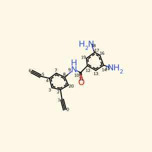 C#Cc1cc(C#C)cc(NC(=O)c2cc(N)cc(N)c2)c1